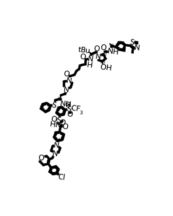 Cc1ncsc1-c1ccc([C@H](C)NC(=O)[C@@H]2C[C@@H](O)CN2C(=O)[C@@H](NC(=O)CCCCCC(=O)N2CCN(CC[C@H](CSc3ccccc3)Nc3ccc(S(=O)(=O)NC(=O)c4ccc(N5CCN(CC6=C(c7ccc(Cl)cc7)CCOC6)CC5)cc4)cc3S(=O)(=O)C(F)(F)F)CC2)C(C)(C)C)cc1